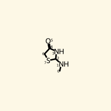 CNC1NC(=O)CS1